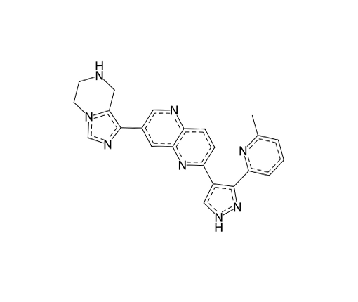 Cc1cccc(-c2n[nH]cc2-c2ccc3ncc(-c4ncn5c4CNCC5)cc3n2)n1